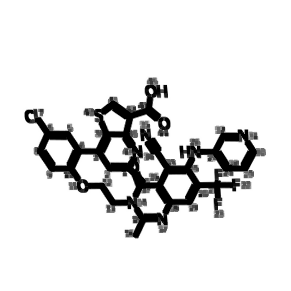 Cc1cc(-c2cc(Cl)ccc2OCCn2c(C)nc3cc(C(F)(F)F)c(Nc4cccnc4)c(C#N)c3c2=O)c2scc(C(=O)O)c2n1